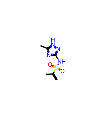 C=C(C)S(=O)(=O)Nc1n[nH]c(C)n1